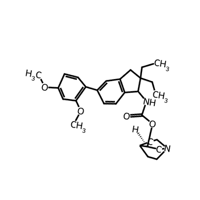 CCC1(CC)Cc2cc(-c3ccc(OC)cc3OC)ccc2C1NC(=O)O[C@H]1CN2CCC1CC2